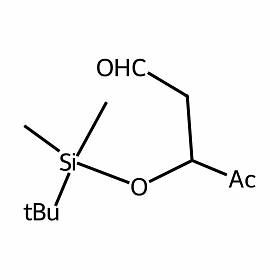 CC(=O)C(CC=O)O[Si](C)(C)C(C)(C)C